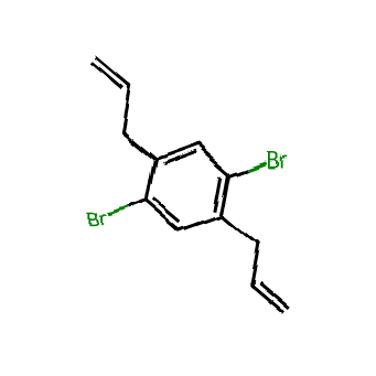 C=CCc1cc(Br)c(CC=C)cc1Br